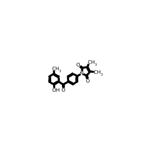 CC1=C(C)C(=O)N(c2ccc(C(=O)c3cc(C)ccc3O)cc2)C1=O